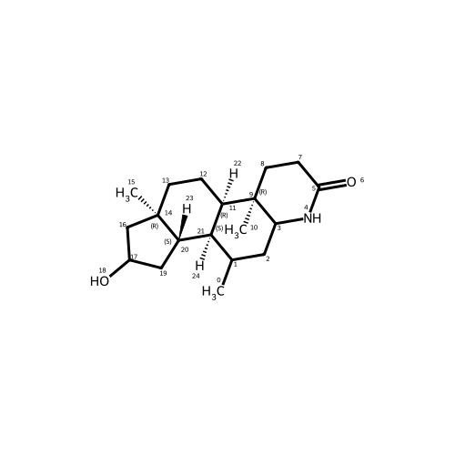 CC1CC2NC(=O)CC[C@]2(C)[C@@H]2CC[C@]3(C)CC(O)C[C@H]3[C@H]12